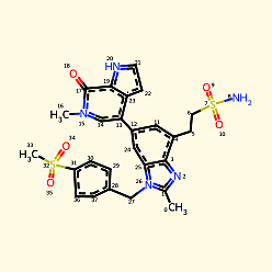 Cc1nc2c(CCS(N)(=O)=O)cc(-c3cn(C)c(=O)c4[nH]ccc34)cc2n1Cc1ccc(S(C)(=O)=O)cc1